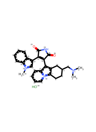 CN(C)CC1CCc2c(c(C3=C(c4cn(C)c5ccccc45)C(=O)NC3=O)c3ccccn23)C1.Cl